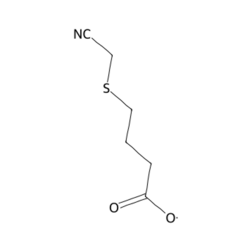 N#CCSCCCC([O])=O